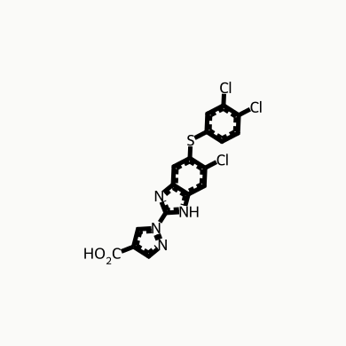 O=C(O)c1cnn(-c2nc3cc(Sc4ccc(Cl)c(Cl)c4)c(Cl)cc3[nH]2)c1